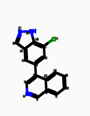 Clc1cc(-c2cncc3ccccc23)cc2cn[nH]c12